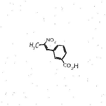 C/C(=C/c1cccc(C(=O)O)c1)[N+](=O)[O-]